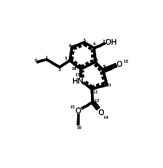 CCCc1ccc(O)c2c(=O)cc(C(=O)OC)[nH]c12